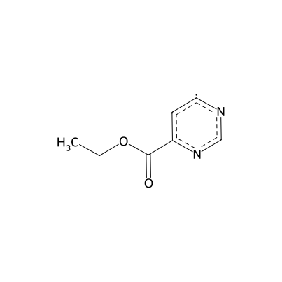 CCOC(=O)c1c[c]ncn1